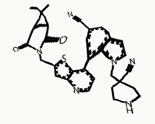 CC1(C)C2C(=O)N(Cc3cc4nccc(-c5cc(C#N)cc6ccn(CC7(C#N)CCNCC7)c56)c4s3)C(=O)C21